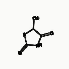 [CH]C1SC(=O)NC1=O